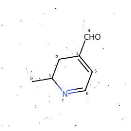 CC1CC(C=O)=CC=N1